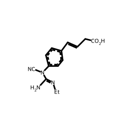 CCN=C(N)N(C#N)c1ccc(/C=C/CC(=O)O)cc1